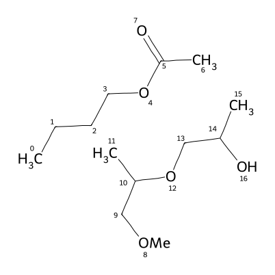 CCCCOC(C)=O.COCC(C)OCC(C)O